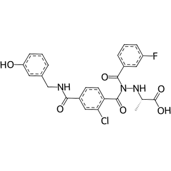 C[C@H](NN(C(=O)c1cccc(F)c1)C(=O)c1ccc(C(=O)NCc2cccc(O)c2)cc1Cl)C(=O)O